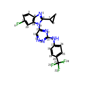 Fc1ccc2nc(C3CC3)n(-c3cnnc(Nc4ccc(C(F)(F)F)cc4)n3)c2c1